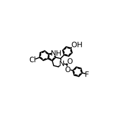 O=C(Oc1ccc(F)cc1)N1CCc2c([nH]c3ccc(Cl)cc23)C1c1ccc(O)cc1